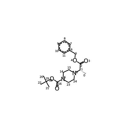 C[C@@H](C(=O)OCc1ccccc1)N1CCN(C(=O)OC(C)(C)C)CC1